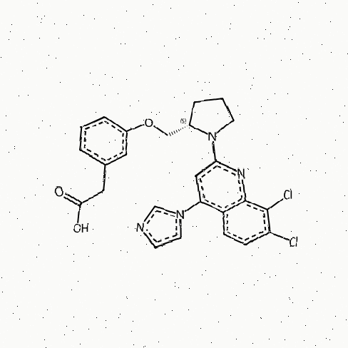 O=C(O)Cc1cccc(OC[C@@H]2CCCN2c2cc(-n3ccnc3)c3ccc(Cl)c(Cl)c3n2)c1